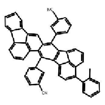 Cc1ccccc1-c1ccc2c3c(-c4cccc(C#N)c4)c4c(cc5c6ccccc6c6cccc4c65)c(-c4cccc(C#N)c4)c3c3cccc1c32